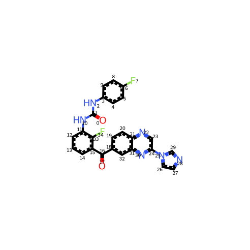 O=C(Nc1ccc(F)cc1)Nc1cccc(C(=O)c2ccc3ncc(-n4ccnc4)nc3c2)c1F